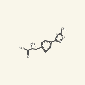 Cc1nc(-c2ccc(C[C@H](N)C(=O)O)cc2)no1